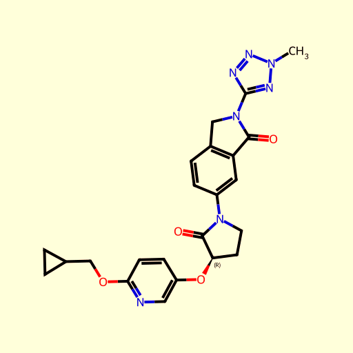 Cn1nnc(N2Cc3ccc(N4CC[C@@H](Oc5ccc(OCC6CC6)nc5)C4=O)cc3C2=O)n1